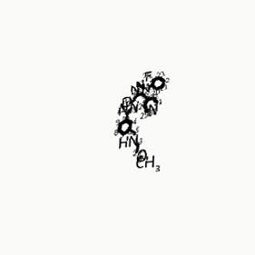 COCCNCc1cccc(-c2noc(-c3nnn(-c4ccccc4F)c3-c3ccncc3)n2)c1